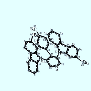 CC(C)(C)c1ccc2c3ccccc3n(-c3cncc(-n4c5ccccc5c5ccc(C(C)(C)C)cc54)c3-c3ccc(C#N)cc3)c2c1